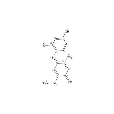 CCCCCCOC1=C/C(=N/c2ccc(O)cc2Cl)C(N)=CC1=N